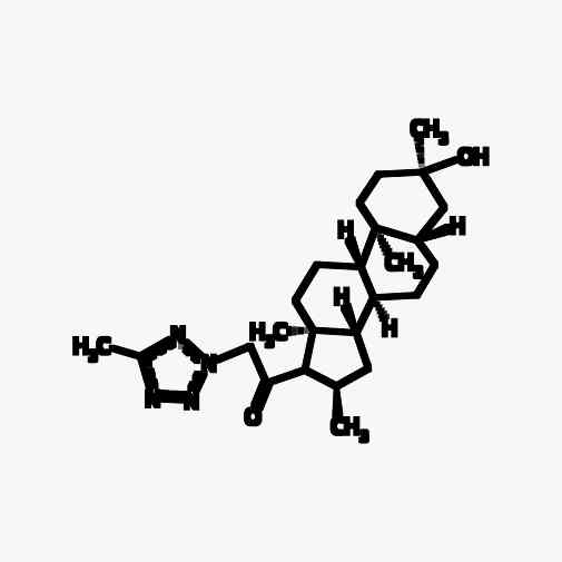 Cc1nnn(CC(=O)C2[C@H](C)C[C@H]3[C@@H]4CC[C@H]5C[C@](C)(O)CC[C@]5(C)[C@H]4CC[C@]23C)n1